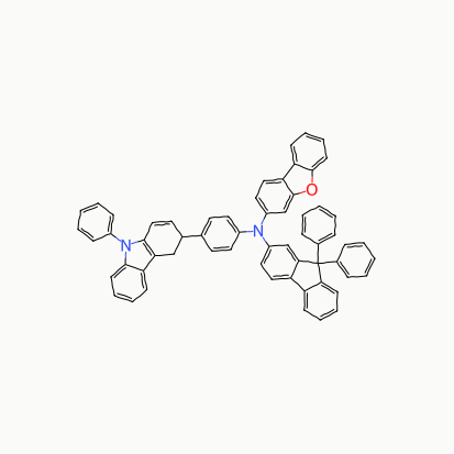 C1=CC(c2ccc(N(c3ccc4c(c3)C(c3ccccc3)(c3ccccc3)c3ccccc3-4)c3ccc4c(c3)oc3ccccc34)cc2)Cc2c1n(-c1ccccc1)c1ccccc21